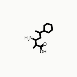 CC(CC(N)C(C)C(=O)O)C1CCCCC1